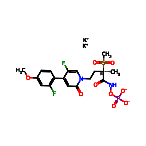 COc1ccc(-c2cc(=O)n(CC[C@](C)(C(=O)NOP(=O)([O-])[O-])S(C)(=O)=O)cc2F)c(F)c1.[K+].[K+]